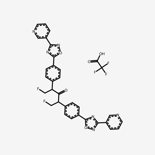 O=C(C(CF)c1ccc(-c2nc(-c3cccnc3)no2)cc1)C(CF)c1ccc(-c2nc(-c3cccnc3)no2)cc1.O=C(O)C(F)(F)F